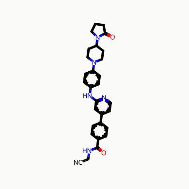 N#CCNC(=O)c1ccc(-c2ccnc(Nc3ccc(N4CCC(N5CCCC5=O)CC4)cc3)c2)cc1